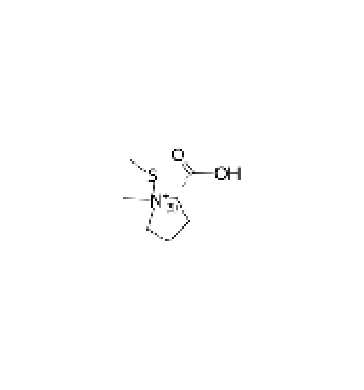 CS[N+]1(C)CCC[C@H]1C(=O)O